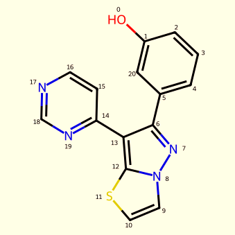 Oc1cccc(-c2nn3ccsc3c2-c2ccncn2)c1